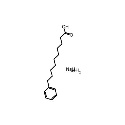 O=C(O)CCCCCCCCCc1ccccc1.[NaH].[SeH2]